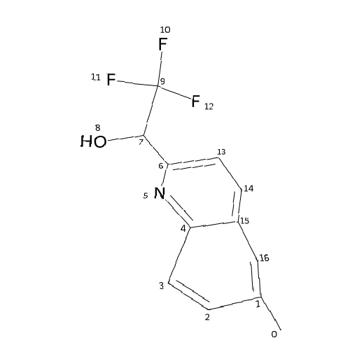 Cc1ccc2nc(C(O)C(F)(F)F)ccc2c1